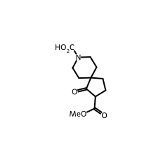 COC(=O)C1CCC2(CCN(C(=O)O)CC2)C1=O